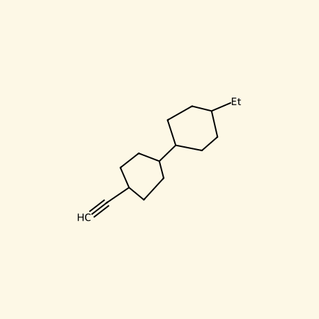 C#CC1CCC(C2CCC(CC)CC2)CC1